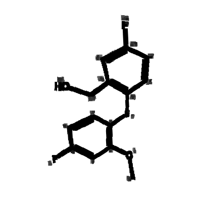 COc1cc(F)ccc1Sc1ccc(F)cc1CO